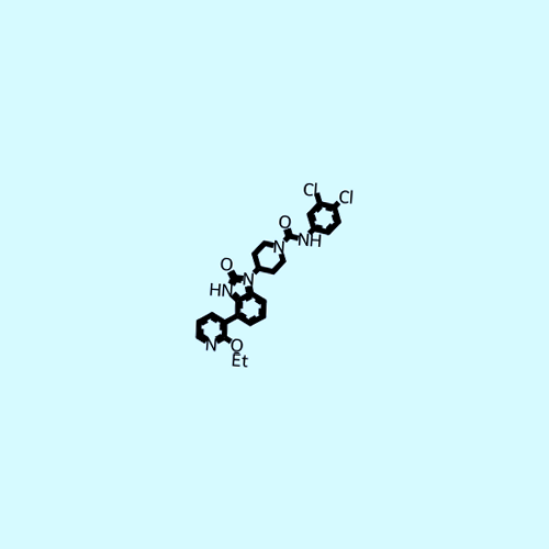 CCOc1ncccc1-c1cccc2c1[nH]c(=O)n2C1CCN(C(=O)Nc2ccc(Cl)c(Cl)c2)CC1